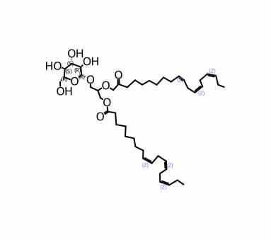 CC/C=C\C/C=C\C/C=C\CCCCCCCC(=O)COC(COC(=O)CCCCCCC/C=C\C/C=C\C/C=C\CC)CO[C@@H]1O[C@H](CO)[C@@H](O)[C@H](O)[C@H]1O